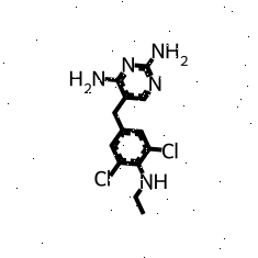 CCNc1c(Cl)cc(Cc2cnc(N)nc2N)cc1Cl